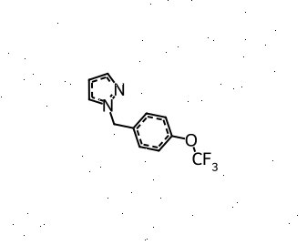 FC(F)(F)Oc1ccc(Cn2cccn2)cc1